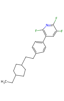 CCC1CCC(CCc2ccc(-c3cc(F)c(F)nc3F)cc2)CC1